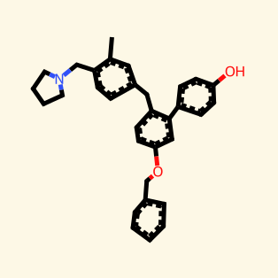 Cc1cc(Cc2ccc(OCc3ccccc3)cc2-c2ccc(O)cc2)ccc1CN1CCCC1